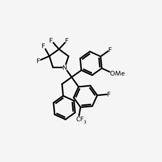 COc1cc(C(Cc2ccccc2)(c2cc(F)cc(C(F)(F)F)c2)N2CC(F)(F)C(F)(F)C2)ccc1F